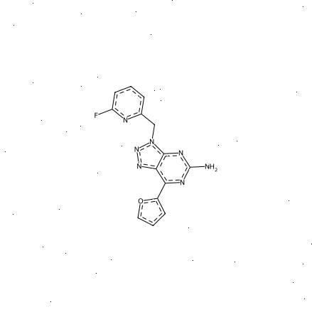 Nc1nc(-c2ccco2)c2nnn(Cc3cccc(F)n3)c2n1